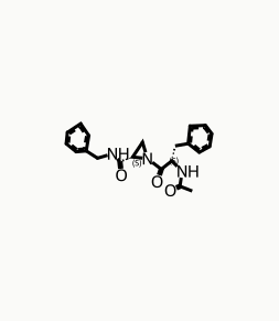 CC(=O)N[C@@H](Cc1ccccc1)C(=O)N1C[C@H]1C(=O)NCc1ccccc1